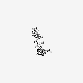 CC(Cc1cnc2nc(N)nc(N)c2n1)c1ccc(C(=O)NC(CCC(=O)OC[C@H]2OC(n3ccc(N)nc3=O)C(F)(F)[C@H]2O)C(=O)O)cc1